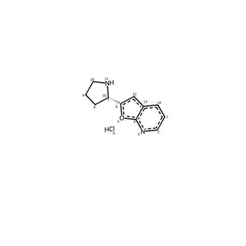 Cl.c1cnc2oc([C@@H]3CCCN3)cc2c1